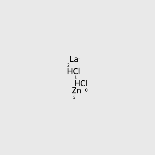 Cl.Cl.[La].[Zn]